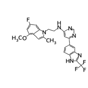 COc1cc(F)cc2c1cc(C)n2CCNc1cc(-c2ccc3[nH]c(C(F)(F)F)nc3c2)ncn1